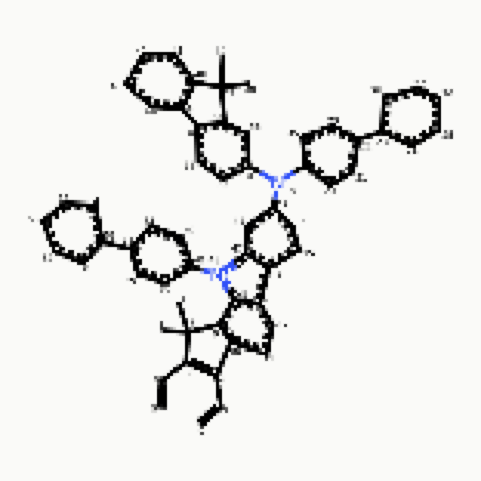 C=CC1=C(C=C)C(C)(C)c2c1ccc1c3ccc(N(c4ccc(-c5ccccc5)cc4)c4ccc5c(c4)C(C)(C)c4ccccc4-5)cc3n(-c3ccc(-c4ccccc4)cc3)c21